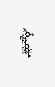 O=C(NC1CC1)c1ccc(C(F)=CC(c2cc(Br)cc(Br)c2)C(F)(F)F)cc1C(F)(F)F